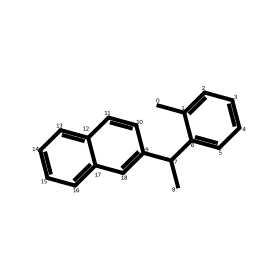 Cc1ccccc1C(C)c1ccc2ccccc2c1